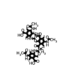 CC(=O)Nc1c(I)c(NC(=O)N(C)C(=O)c2c(I)c(NC(C)=O)c(I)c(C(=O)N(C)C(=O)Nc3c(I)c(NC(C)=O)c(I)c(C(=O)O)c3I)c2I)c(I)c(C(=O)O)c1I